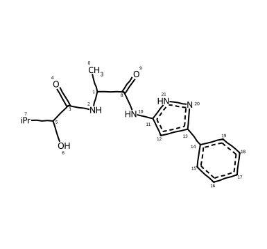 CC(NC(=O)C(O)C(C)C)C(=O)Nc1cc(-c2ccccc2)n[nH]1